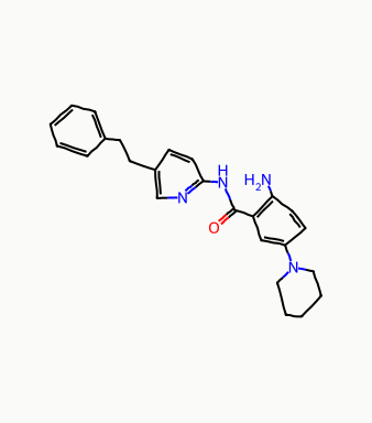 Nc1ccc(N2CCCCC2)cc1C(=O)Nc1ccc(CCc2ccccc2)cn1